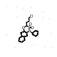 O=S1(=O)C(CCCCl)Oc2cc3ccccc3cc2N1c1ccccc1